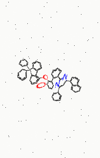 c1ccc(-c2cc(-c3cccc4ccccc34)nc(-c3ccccc3-c3cccc4c3Oc3c(ccc5c3-c3ccccc3C5(c3ccccc3)c3ccccc3)O4)n2)cc1